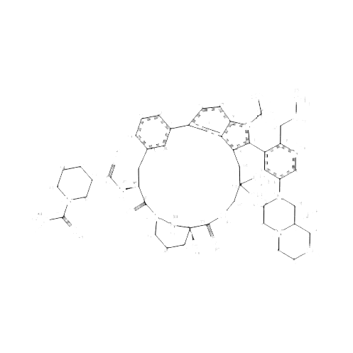 CCn1c(-c2cc(N3CCN4CCOC[C@@H]4C3)cnc2[C@H](C)OC)c2c3cc(ccc31)-c1cccc(c1)C[C@H](NC(=O)[C@H]1CCCN(C(C)=O)C1)C(=O)N1CCC[C@H](N1)C(=O)OCC(C)(C)C2